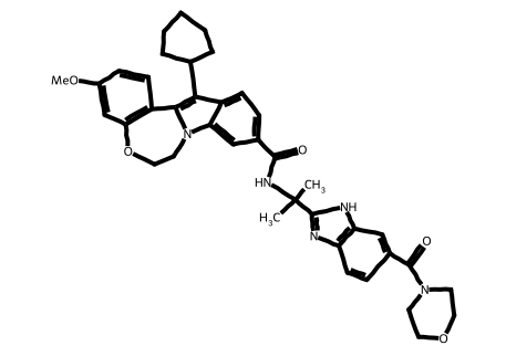 COc1ccc2c(c1)OCCn1c-2c(C2CCCCC2)c2ccc(C(=O)NC(C)(C)c3nc4ccc(C(=O)N5CCOCC5)cc4[nH]3)cc21